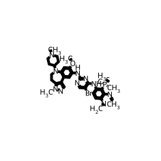 C=Nc1ccc(Nc2nc(Nc3cc4c(cc3OC)N(C3CCN(C)CC3)CCc3c-4cnn3C)ncc2Br)c(P(C)(C)=S)c1/N=C\C